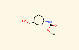 CC(C)(C)OC(=O)NC1CCCC(CO)CC1